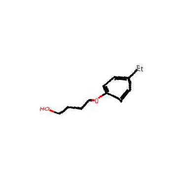 CCc1ccc(OCCCCO)cc1